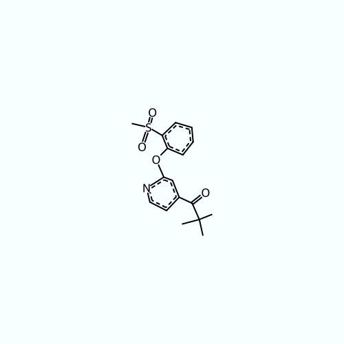 CC(C)(C)C(=O)c1ccnc(Oc2ccccc2S(C)(=O)=O)c1